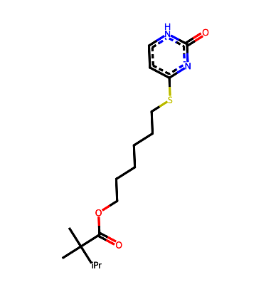 CC(C)C(C)(C)C(=O)OCCCCCCSc1cc[nH]c(=O)n1